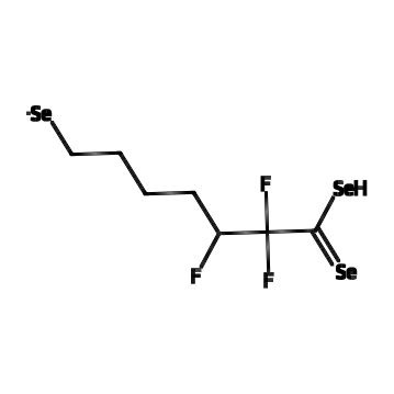 FC(CCCC[Se])C(F)(F)C(=[Se])[SeH]